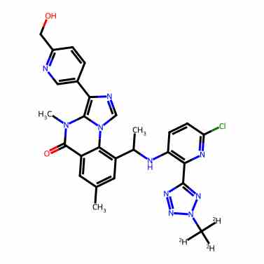 [2H]C([2H])([2H])n1nnc(-c2nc(Cl)ccc2NC(C)c2cc(C)cc3c(=O)n(C)c4c(-c5ccc(CO)nc5)ncn4c23)n1